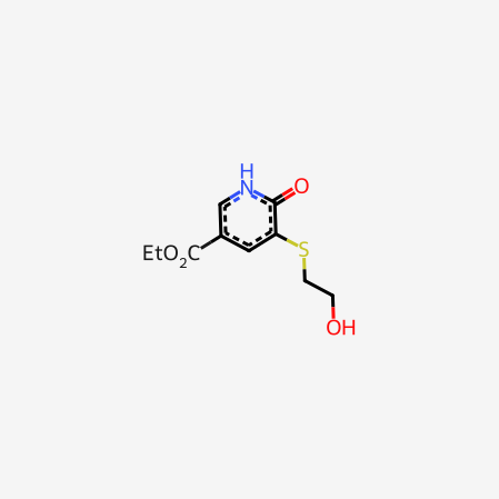 CCOC(=O)c1c[nH]c(=O)c(SCCO)c1